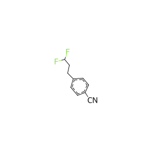 N#Cc1ccc(CCC(F)F)cc1